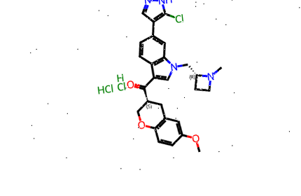 COc1ccc2c(c1)C[C@H](C(=O)c1cn(C[C@H]3CCN3C)c3cc(-c4cn[nH]c4Cl)ccc13)CO2.Cl.Cl